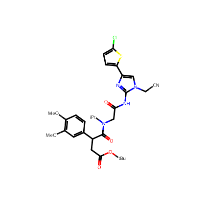 COc1ccc(C(CC(=O)OC(C)(C)C)C(=O)N(CC(=O)Nc2nc(-c3ccc(Cl)s3)cn2CC#N)C(C)C)cc1OC